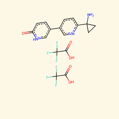 NC1(c2ccc(-c3ccc(=O)[nH]c3)cn2)CC1.O=C(O)C(F)(F)F.O=C(O)C(F)(F)F